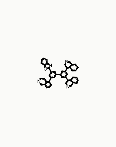 c1cc(-c2cc(-c3cc(-c4cncc5ccccc45)cc(-c4cncc5ccccc45)c3)cc(-c3nc4ccccc4o3)c2)c2ccncc2c1